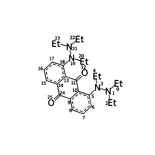 CCN(CC)N(CC)c1cccc2c1C(=O)c1c(cccc1N(CC)N(CC)CC)C2=O